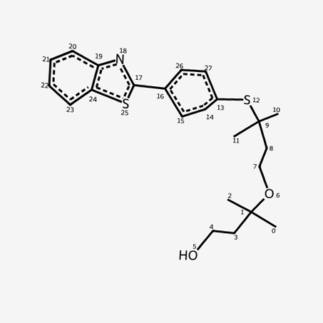 CC(C)(CCO)OCCC(C)(C)Sc1ccc(-c2nc3ccccc3s2)cc1